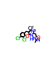 Cc1noc(Cc2nc(C(F)(F)F)c(Cc3ccc(Cl)c(Cl)c3)c(=O)[nH]2)n1